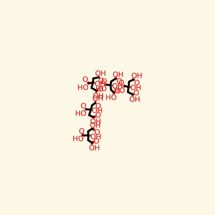 O=C(O)CC(O)(CC(=O)O)C(=O)O.O=C(O)CC(O)(CC(=O)O)C(=O)O.O=C(O)CC(O)(CC(=O)O)C(=O)O.O=C(O)CC(O)(CC(=O)O)C(=O)O.O=C(O)CC(O)(CC(=O)O)C(=O)O